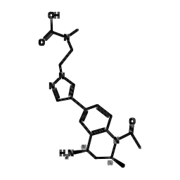 CC(=O)N1c2ccc(-c3cnn(CCN(C)C(=O)O)c3)cc2[C@H](N)C[C@@H]1C